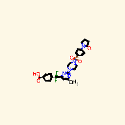 Cc1cc(C(F)(F)[C@H]2CC[C@H](C(=O)O)CC2)nc(N2CCN(S(=O)(=O)c3ccc(N4CCCC4=O)cc3)CC2)n1